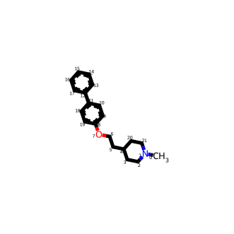 CN1CCC(CCOc2ccc(-c3c[c]ccc3)cc2)CC1